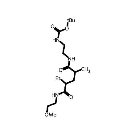 CCC(CC(C)C(=O)NCCNC(=O)OC(C)(C)C)C(=O)NCCOC